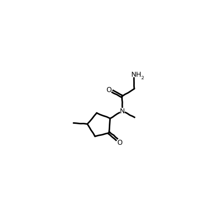 CC1CC(=O)C(N(C)C(=O)CN)C1